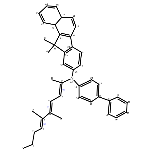 CCC/C=C(C)/C(C)=C/C=C(\C)N(c1ccc(-c2ccccc2)cc1)c1ccc2c(c1)C(C)(C)C1=C2C=CC2C=CC=CC12